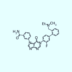 CCN(C)Cc1ccccc1-c1ccc(-n2cnc3ncn(-c4cccc(C(N)=O)c4)c3c2=O)c(F)c1